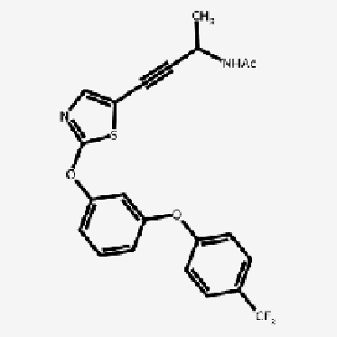 CC(=O)NC(C)C#Cc1cnc(Oc2cccc(Oc3ccc(C(F)(F)F)cc3)c2)s1